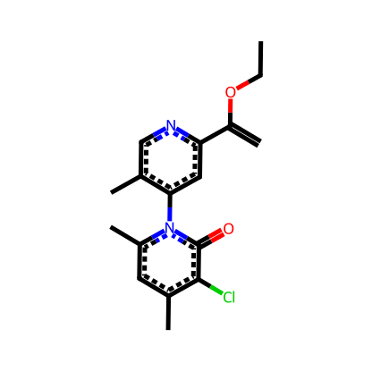 C=C(OCC)c1cc(-n2c(C)cc(C)c(Cl)c2=O)c(C)cn1